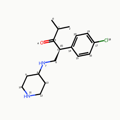 CC(C)C(=O)[C@H](CNC1CCNCC1)c1ccc(Cl)cc1